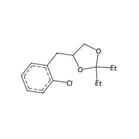 CCC1(CC)OCC(Cc2ccccc2Cl)O1